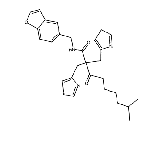 CC(C)CCCCC(=O)C(CC1=CCC=N1)(Cc1cscn1)C(=O)NCc1ccc2occc2c1